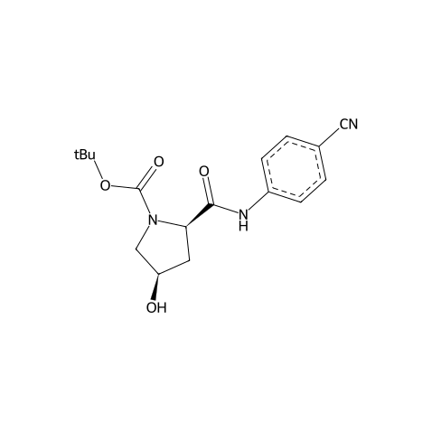 CC(C)(C)OC(=O)N1C[C@H](O)C[C@@H]1C(=O)Nc1ccc(C#N)cc1